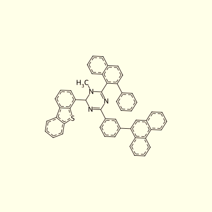 CN1C(c2c(-c3ccccc3)ccc3ccccc23)=NC(c2cccc(-c3cc4ccccc4c4ccccc34)c2)=NC1c1cccc2c1sc1ccccc12